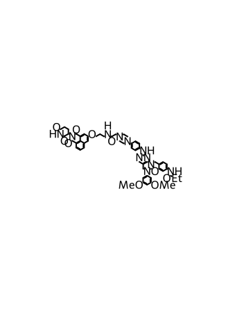 CCC(=O)Nc1ccc(CN2C(=O)N(c3cc(OC)cc(OC)c3)Cc3cnc(Nc4ccc(N5CCN(CC(=O)NCCCOc6cc7c8c(cccc8c6)C(=O)N(C6CCC(=O)NC6=O)C7=O)CC5)cc4)nc32)cc1